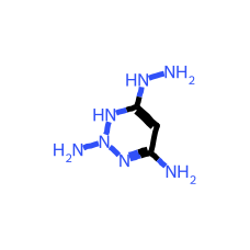 NNC1=CC(N)=NN(N)N1